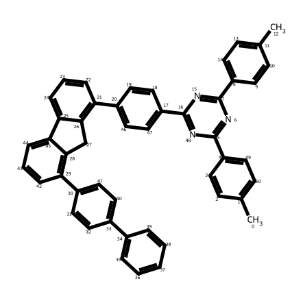 Cc1ccc(-c2nc(-c3ccc(C)cc3)nc(-c3ccc(-c4cccc5c4Cc4c(-c6ccc(-c7ccccc7)cc6)cccc4-5)cc3)n2)cc1